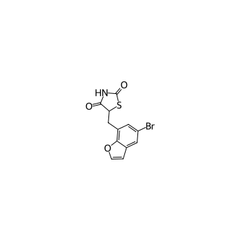 O=C1NC(=O)C(Cc2cc(Br)cc3ccoc23)S1